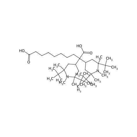 CN1C(C)(C(C)(C)C)CC(C(CCCCCCCC(=O)O)(C(=O)O)C2CC(C)(C(C)(C)C)N(C)C(C)(C(C)(C)C)C2)CC1(C)C(C)(C)C